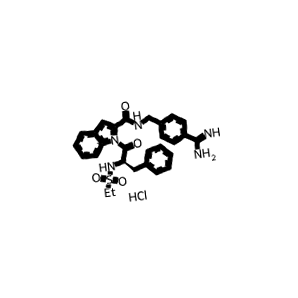 CCS(=O)(=O)N[C@H](Cc1ccccc1)C(=O)n1c(C(=O)NCc2ccc(C(=N)N)cc2)cc2ccccc21.Cl